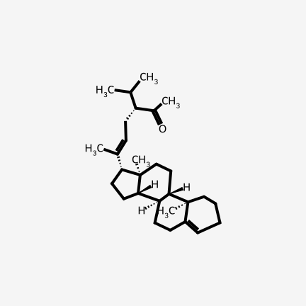 CC(=O)[C@H](CC=C(C)[C@H]1CC[C@H]2[C@@H]3CCC4=CCCC[C@]4(C)[C@H]3CC[C@]12C)C(C)C